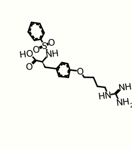 N=C(N)NCCCCOc1ccc(C[C@H](NS(=O)(=O)c2ccccc2)C(=O)O)cc1